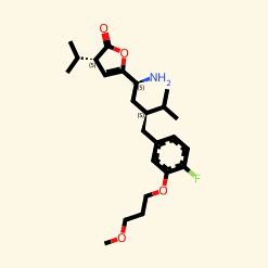 COCCCOc1cc(C[C@@H](C[C@H](N)C2=C[C@H](C(C)C)C(=O)O2)C(C)C)ccc1F